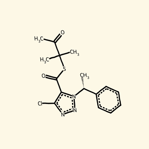 CC(=O)C(C)(C)SC(=O)c1c(Cl)nnn1[C@H](C)c1ccccc1